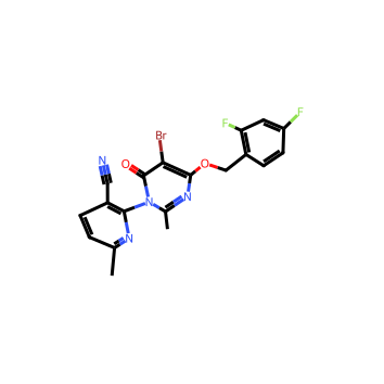 Cc1ccc(C#N)c(-n2c(C)nc(OCc3ccc(F)cc3F)c(Br)c2=O)n1